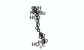 CC(C)(C)c1cc(OCCOCCOCCOc2ccc(C3CCN(S(=O)(=O)c4ccc(C(=O)NCC(=O)O)cc4)CC3)cc2)c(O)cc1NC(=O)c1c[nH]c2ccccc2c1=O